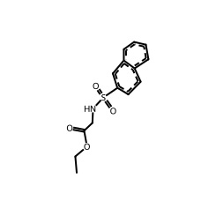 CCOC(=O)CNS(=O)(=O)c1ccc2ccccc2c1